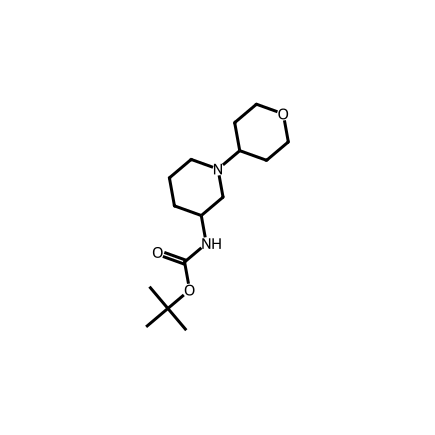 CC(C)(C)OC(=O)NC1CCCN(C2CCOCC2)C1